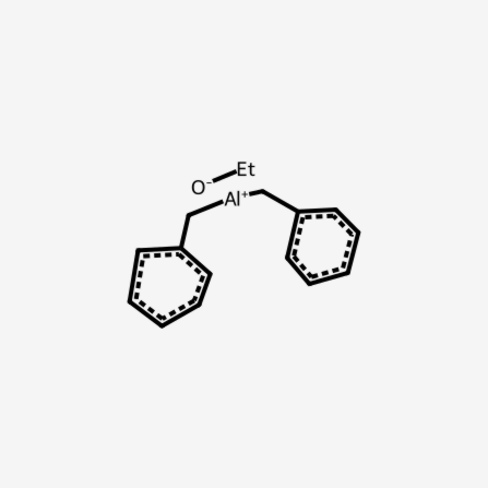 CC[O-].c1ccc([CH2][Al+][CH2]c2ccccc2)cc1